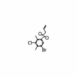 C=CCS(=O)(=O)c1cc(Br)c(C)c(Cl)c1C